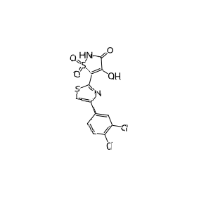 O=C1NS(=O)(=O)C(c2nc(-c3ccc(Cl)c(Cl)c3)cs2)=C1O